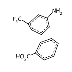 Nc1cccc(C(F)(F)F)c1.O=C(O)c1ccccc1